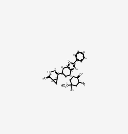 CCC1(C(=O)O)CCC(=O)C(Br)C1.O=C1NN=C(C2CCc3nc(-c4ccccc4)oc3C2)C2CC12